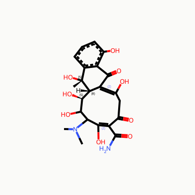 CN(C)C1/C(O)=C(/C(N)=O)C(=O)C/C(O)=C2/C(=O)c3c(O)cccc3[C@@](C)(O)[C@H]2[C@H](O)C1O